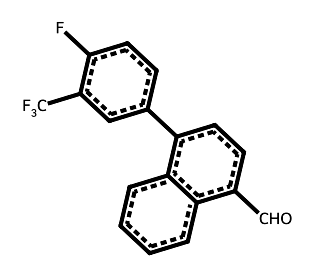 O=Cc1ccc(-c2ccc(F)c(C(F)(F)F)c2)c2ccccc12